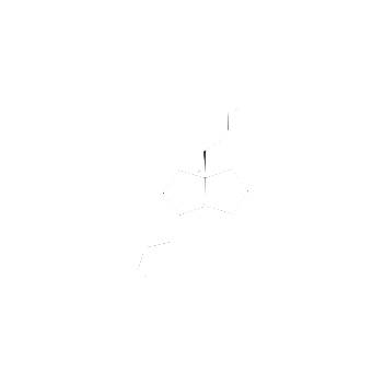 CC(C)(C)OC[C@@H]1CC[C@]2(COC(C)(C)C)CCCN12